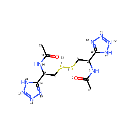 CC(=O)N[C@@H](CSSC[C@H](NC(C)=O)c1nnn[nH]1)c1nnn[nH]1